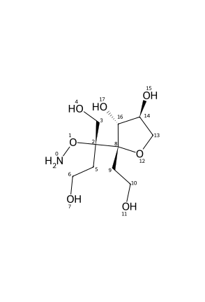 NO[C@@](CO)(CCO)[C@@]1(CCO)OC[C@H](O)[C@H]1O